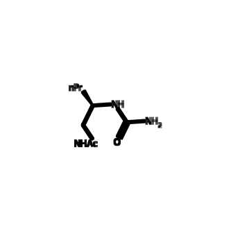 CCC[C@H](CNC(C)=O)NC(N)=O